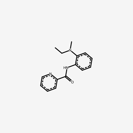 CCN(C)c1ccccc1NC(=O)c1ccccn1